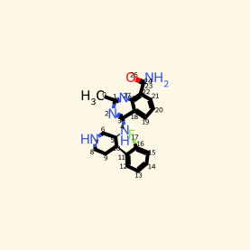 Cc1nc(N[C@H]2CNCC[C@@H]2c2ccccc2F)c2cccc(C(N)=O)c2n1